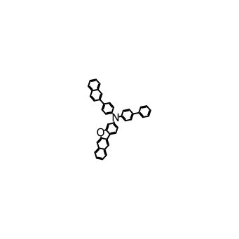 c1ccc(-c2ccc(N(c3ccc(-c4ccc5ccccc5c4)cc3)c3ccc4c(c3)oc3cc5ccccc5cc34)cc2)cc1